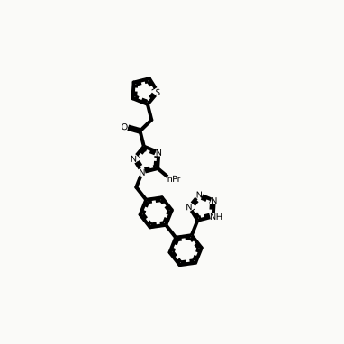 CCCc1nc(C(=O)Cc2cccs2)nn1Cc1ccc(-c2ccccc2-c2nnn[nH]2)cc1